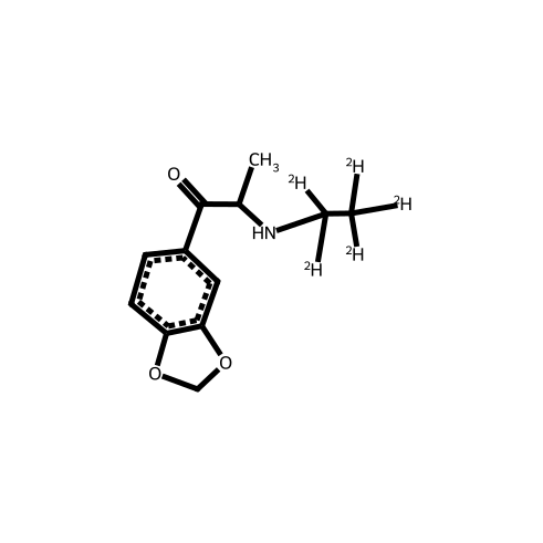 [2H]C([2H])([2H])C([2H])([2H])NC(C)C(=O)c1ccc2c(c1)OCO2